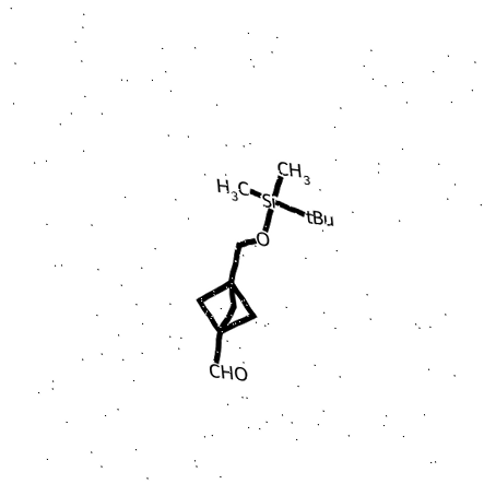 CC(C)(C)[Si](C)(C)OCC12CC(C=O)(C1)C2